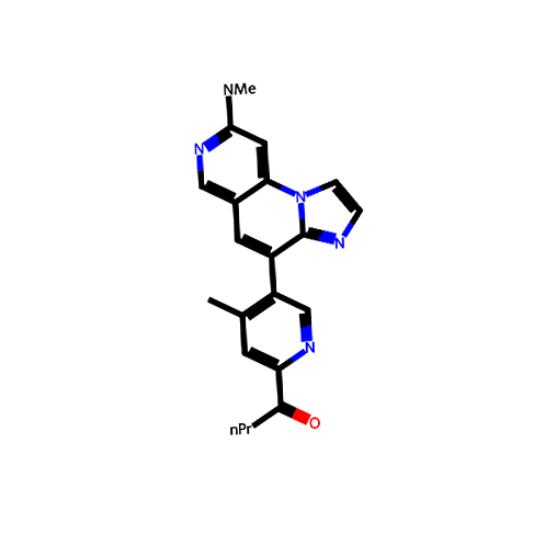 CCCC(=O)c1cc(C)c(-c2cc3cnc(NC)cc3n3ccnc23)cn1